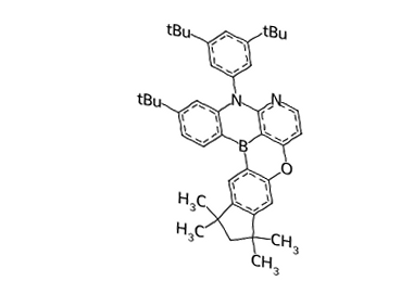 CC(C)(C)c1cc(N2c3cc(C(C)(C)C)ccc3B3c4cc5c(cc4Oc4ccnc2c43)C(C)(C)CC5(C)C)cc(C(C)(C)C)c1